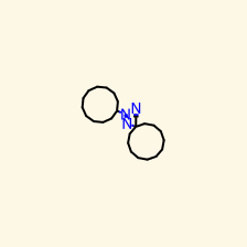 N#CC1(/N=N/C2CCCCCCCCCCC2)CCCCCCCCCCC1